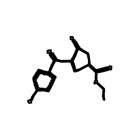 CCOC(=O)C1CC(=O)C(C(=O)c2ccc(Cl)cc2)C1